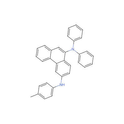 Cc1ccc(Nc2ccc3c(N(c4ccccc4)c4ccccc4)cc4ccccc4c3c2)cc1